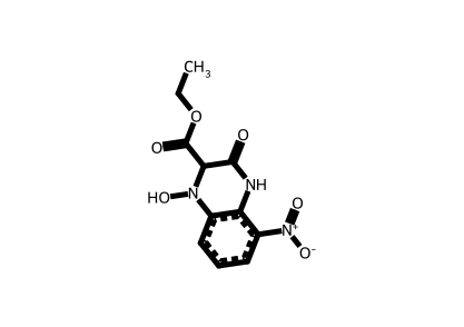 CCOC(=O)C1C(=O)Nc2c(cccc2[N+](=O)[O-])N1O